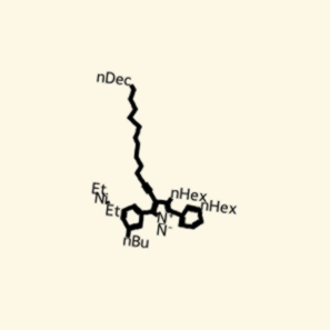 CCCCCCCCCCCCCCCCCCCCC#CC1=C(c2cccc(CCCC)c2)[N+](=[N-])C(c2cccc(CCCCCC)c2)=C1CCCCCC.C[CH2][Ni][CH2]C